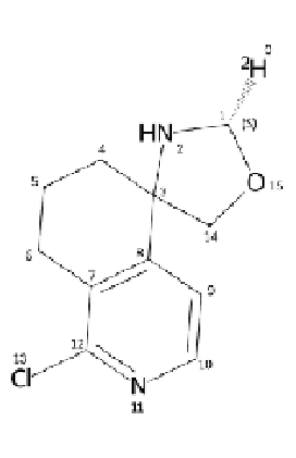 [2H][C@H]1NC2(CCCc3c2ccnc3Cl)CO1